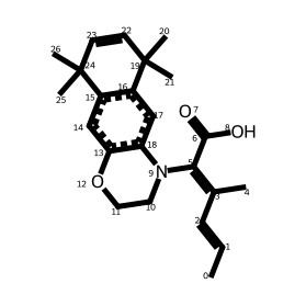 C/C=C/C(C)=C(/C(=O)O)N1CCOc2cc3c(cc21)C(C)(C)C=CC3(C)C